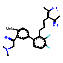 CNc1ccc(-c2ccc(F)c(F)c2CCC/C(C(C)=N)=C(\C)N)cc1C(=N)CN(C)C